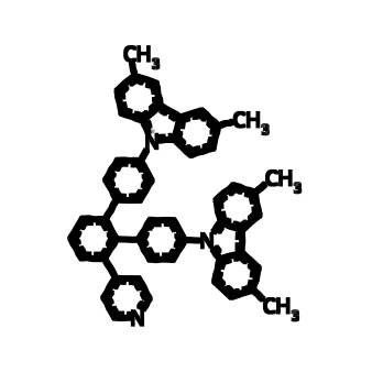 Cc1ccc2c(c1)c1cc(C)ccc1n2-c1ccc(-c2cccc(-c3ccncc3)c2-c2ccc(-n3c4ccc(C)cc4c4cc(C)ccc43)cc2)cc1